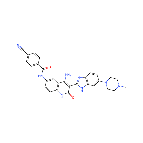 CN1CCN(c2ccc3nc(-c4c(N)c5cc(NC(=O)c6ccc(C#N)cc6)ccc5[nH]c4=O)[nH]c3c2)CC1